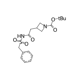 CC(C)(C)OC(=O)N1CC(CC(=O)NS(=O)(=O)Cc2ccccc2)C1